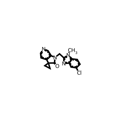 Cn1c(CN2C(=O)C3(CC3)c3ccncc32)nc2cc(Cl)ccc21